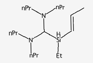 CC=C[SiH](CC)C(N(CCC)CCC)N(CCC)CCC